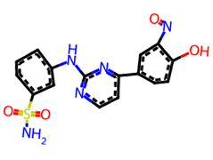 NS(=O)(=O)c1cccc(Nc2nccc(-c3ccc(O)c(N=O)c3)n2)c1